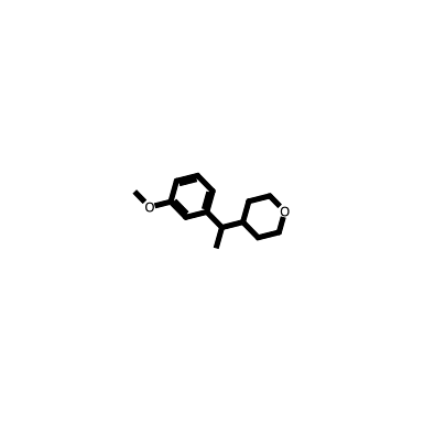 COc1cccc(C(C)C2CCOCC2)c1